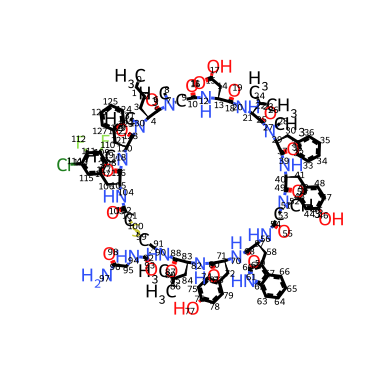 CCCC[C@H]1C(=O)N(C)CC(=O)N[C@@H](CC(=O)O)C(=O)N[C@@H](C(C)C)C(=O)N(C)[C@@H](Cc2ccccc2)C(=O)N[C@@H](Cc2ccc(O)cc2)C(=O)N(C)CC(=O)N[C@@H](Cc2c[nH]c3ccccc23)C(=O)N[C@@H](Cc2ccc(O)cc2)C(=O)N[C@@H](CC(C)C)C(=O)N[C@H](C(=O)NCC(N)=O)CSCC(=O)N[C@@H](Cc2cc(F)c(F)c(Cl)c2)C(=O)N(C)[C@@H](Cc2ccccc2)C(=O)N1C